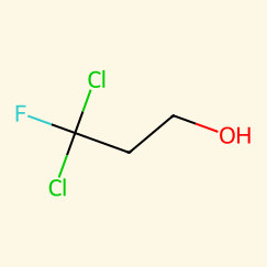 OCCC(F)(Cl)Cl